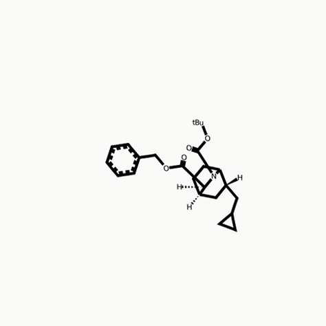 CC(C)(C)OC(=O)N1C2CC[C@H](C[C@H]2CC2CC2)[C@H]1C(=O)OCc1ccccc1